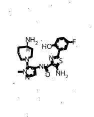 Cn1ncc(NC(=O)c2nc(-c3cc(F)ccc3O)sc2N)c1N1CCC[C@@H](N)CC1